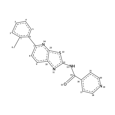 Cc1ccccc1-c1ccc2nc(NC(=O)c3ccncc3)sc2n1